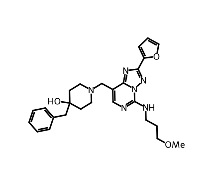 COCCCNc1ncc(CN2CCC(O)(Cc3ccccc3)CC2)c2nc(-c3ccco3)nn12